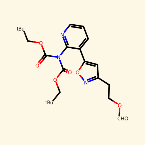 CC(C)(C)COC(=O)N(C(=O)OCC(C)(C)C)c1ncccc1-c1cc(CCOC=O)no1